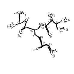 CC(C)OC(=O)[C@H](CCC(=O)C=N)NC(=O)[C@@H](O)C(C)C